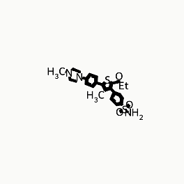 CCC(=O)c1sc(-c2ccc(N3CCN(C)CC3)cc2)c(C)c1-c1ccc(S(N)(=O)=O)cc1